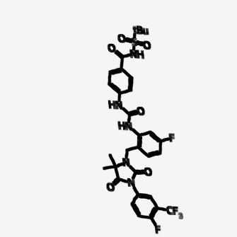 CC1(C)C(=O)N(c2ccc(F)c(C(F)(F)F)c2)C(=O)N1Cc1ccc(F)cc1NC(=O)Nc1ccc(C(=O)NS(=O)(=O)C(C)(C)C)cc1